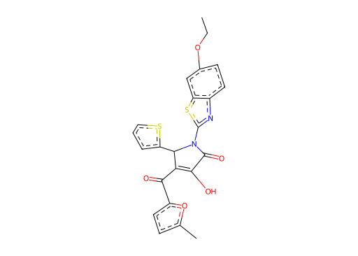 CCOc1ccc2nc(N3C(=O)C(O)=C(C(=O)c4ccc(C)o4)C3c3cccs3)sc2c1